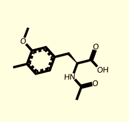 COc1cc(C[C@H](NC(C)=O)C(=O)O)ccc1C